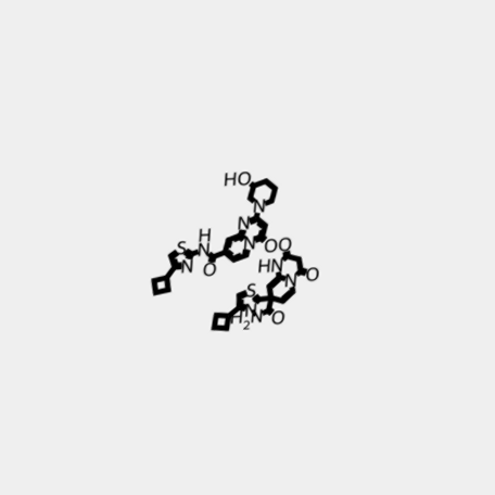 NC(=O)C1(c2nc(C3CCC3)cs2)C=CN2C(=O)CC(=O)NC2=C1.O=C(Nc1nc(C2CCC2)cs1)c1ccn2c(=O)cc(N3CCCC(O)C3)nc2c1